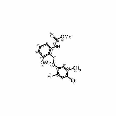 CCc1cc(CC)c(OCc2c(NC(=O)OC)cccc2OC)cc1C